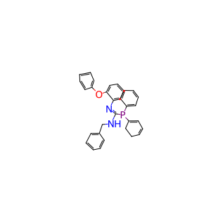 C1=CCCC(P(/C(=N\c2ccccc2Oc2ccccc2)NCc2ccccc2)c2ccccc2)=C1